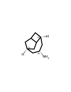 N[C@@H]1C[C@H]2CC3C[C@@H](C1)C3C2